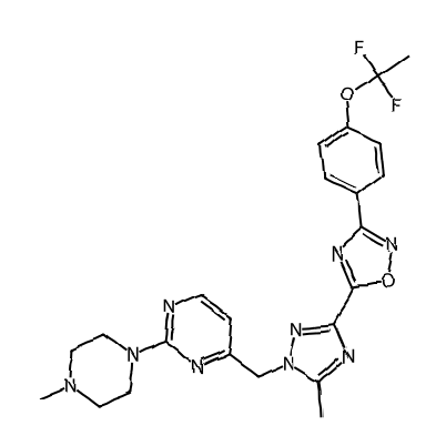 Cc1nc(-c2nc(-c3ccc(OC(C)(F)F)cc3)no2)nn1Cc1ccnc(N2CCN(C)CC2)n1